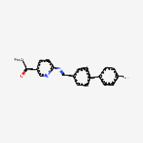 COC(=O)c1ccc(/N=C/c2ccc(-c3ccc(C(F)(F)F)cc3)cc2)nc1